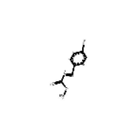 CC(C)(C)OC(=O)N=Cc1ccc(F)cc1